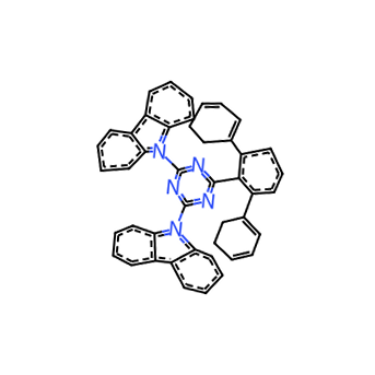 C1=CCCC(c2cccc(C3=CC=CCC3)c2-c2nc(-n3c4ccccc4c4ccccc43)nc(-n3c4ccccc4c4ccccc43)n2)=C1